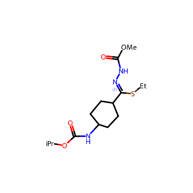 CCS/C(=N\NC(=O)OC)C1CCC(NC(=O)OC(C)C)CC1